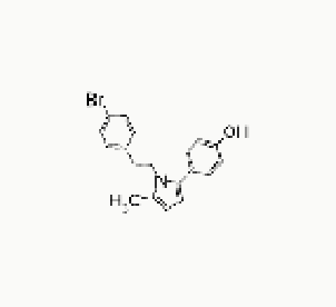 Cc1ccc(-c2ccc(O)cc2)n1CCc1ccc(Br)cc1